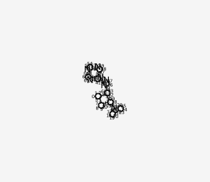 c1ccc2c(c1)-c1ccccc1-c1cc(-n3c4ccccc4c4ccccc43)ccc1-c1ccc(-c3ccnc(-c4ccc5c(n4)-c4cccnc4-c4cccnc4-c4cccnc4-5)n3)cc1-2